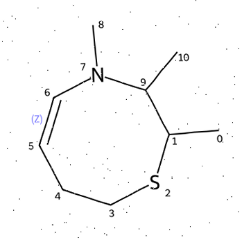 CC1SCC/C=C\N(C)C1C